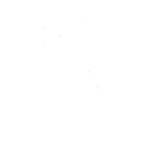 CC(C)(C)c1nc(-c2ccnc(N)n2)c(-c2cccc(N3CCN(c4ccc(S(C)(=O)=O)cc4)C3=O)c2)s1